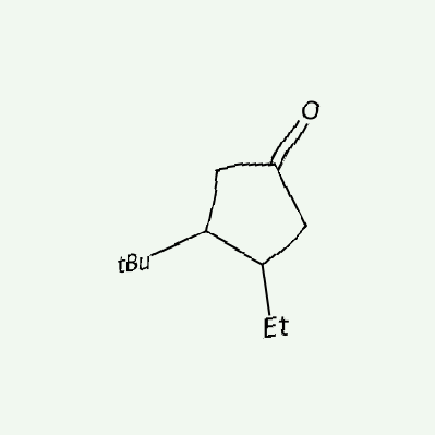 CCC1CC(=O)CC1C(C)(C)C